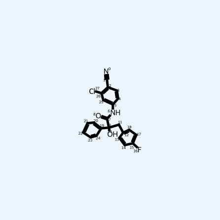 N#Cc1ccc(NC(=O)C(O)(Cc2ccc(F)cc2)c2ccccc2)cc1Cl